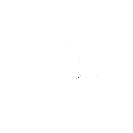 N#Cc1cnc2c(c1)CC[C@@H]([C@@H]1c3ccccc3-c3cncn31)C2O